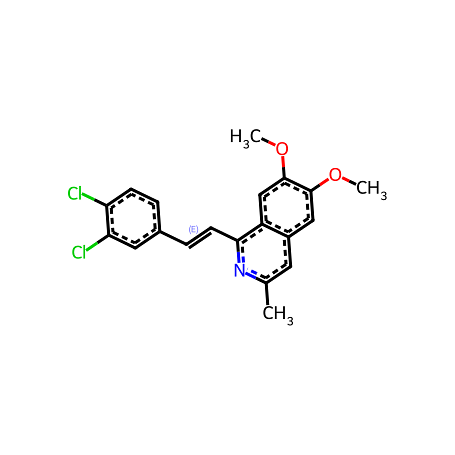 COc1cc2cc(C)nc(/C=C/c3ccc(Cl)c(Cl)c3)c2cc1OC